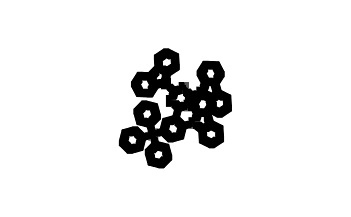 c1ccc([Si](c2ccccc2)(c2ccccc2)c2ccc(-n3c4ccccc4c4ccccc43)c(-c3nc(-n4c5ccccc5c5ccccc54)nc(-n4c5ccccc5c5ccccc54)n3)c2)cc1